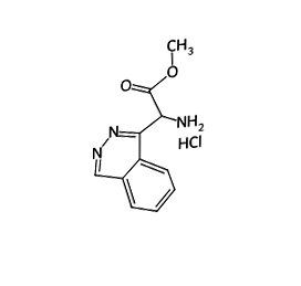 COC(=O)C(N)c1nncc2ccccc12.Cl